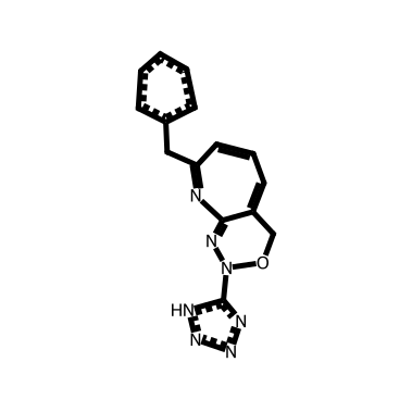 C1=CC(Cc2ccccc2)=NC2=NN(c3nnn[nH]3)OCC2=C1